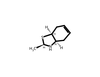 C[C@@H]1N[C@@H]2CC=CC[C@@H]2S1